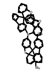 CC1C=CC=CC12Sc1ccc(N(c3ccc4c(c3)C3(c5ccccc5Oc5ccccc53)c3ccccc3-4)c3cccc4oc5ccccc5c34)cc1C21c2cc(C(C)(C)C)ccc2-c2ccc(C(C)(C)C)cc21